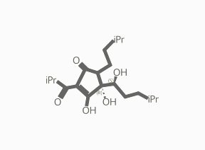 CC(C)CCC1C(=O)C(C(=O)C(C)C)=C(O)[C@]1(O)[C@@H](O)CCC(C)C